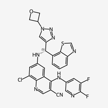 N#Cc1cnc2c(Cl)cc(N[C@H](c3cn(C4COC4)nn3)c3cccc4ncsc34)cc2c1Nc1cnc(F)c(F)c1